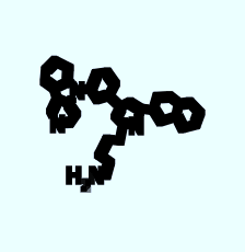 N/C=C\C=C/Cc1cc(-c2cccc(-n3c4ccccc4c4cnccc43)c2)cc(-c2ccc3ccccc3c2)n1